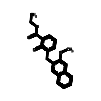 CCOC(=O)c1cccn(Cc2cc3ccccc3cc2OC)c1=O